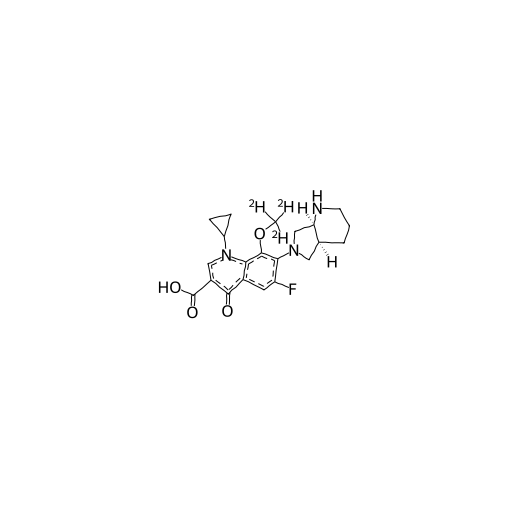 [2H]C([2H])([2H])Oc1c(N2C[C@@H]3CCCN[C@@H]3C2)c(F)cc2c(=O)c(C(=O)O)cn(C3CC3)c12